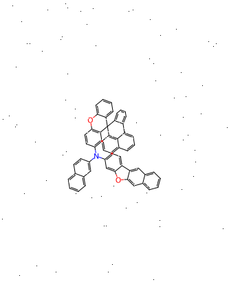 c1ccc2c(c1)Oc1ccc(N(c3ccc4ccccc4c3)c3ccc4c(c3)oc3cc5ccccc5cc34)cc1C21c2ccccc2-c2cccc3cccc1c23